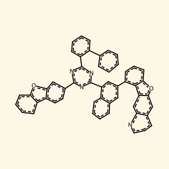 c1ccc(-c2ccccc2-c2nc(-c3ccc4c(c3)oc3ccccc34)nc(-c3cc(-c4cccc5oc6cc7cccnc7cc6c45)cc4ccccc34)n2)cc1